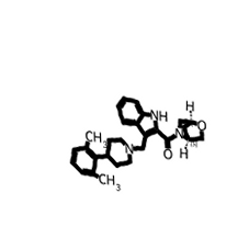 Cc1cccc(C)c1C1CCN(Cc2c(C(=O)N3C[C@@H]4C[C@H]3CO4)[nH]c3ccccc23)CC1